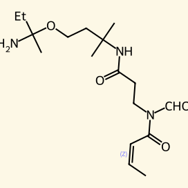 C/C=C\C(=O)N(C=O)CCC(=O)NC(C)(C)CCOC(C)(N)CC